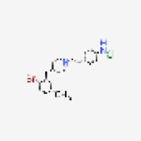 Cc1ccc(Br)c(CC2CCN(CCc3ccc(NCl)cc3)CC2)c1